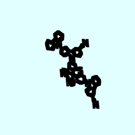 N#Cc1ccc2c(c1)c1ccccc1n2-c1ccc2c(c1)Sc1cc(-n3c4ccc(C#N)cc4c4cc(-n5c6ccccc6c6ccccc65)ccc43)ccc1C21c2cccnc2-c2ncccc21